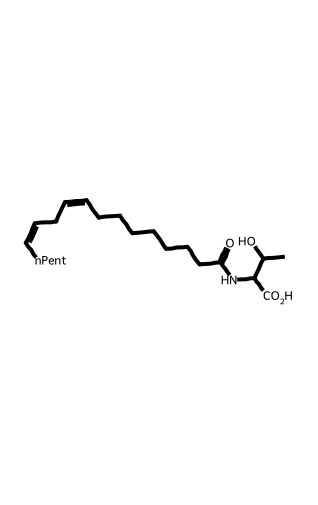 CCCCC/C=C\C/C=C\CCCCCCCC(=O)NC(C(=O)O)C(C)O